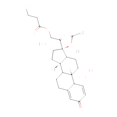 CCCCC(=O)O[C@]1(C(=O)COC(=O)CCS(=O)(=O)O)[C@@H](C)C[C@H]2[C@@H]3CCC4=CC(=O)C=C[C@]4(C)C3(F)[C@@H](O)C[C@@]21C